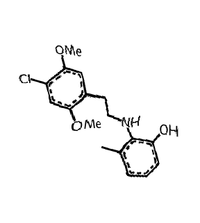 COc1cc(CCNc2c(C)cccc2O)c(OC)cc1Cl